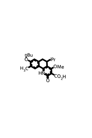 CCCCOc1cc2c(cc1C)-c1[nH]c(=O)c(C(=O)O)c(OC)c1C(C(C)C)C2